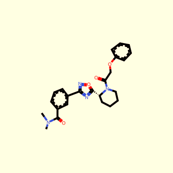 CN(C)C(=O)c1cccc(-c2noc([C@H]3CCCCN3C(=O)COc3ccccc3)n2)c1